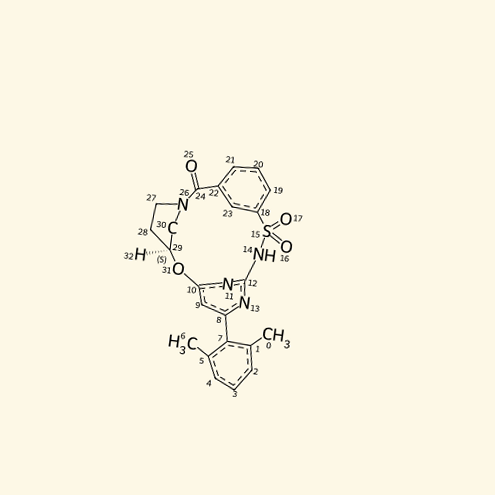 Cc1cccc(C)c1-c1cc2nc(n1)NS(=O)(=O)c1cccc(c1)C(=O)N1CC[C@@H](C1)O2